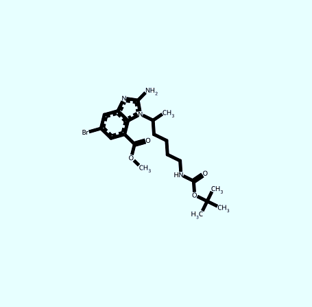 COC(=O)c1cc(Br)cc2nc(N)n(C(C)CCCCNC(=O)OC(C)(C)C)c12